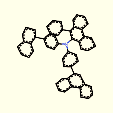 c1ccc(-c2c(N(c3ccc(-c4cccc5ccccc45)cc3)c3ccc(-c4cc5ccccc5c5ccccc45)cc3)c3ccccc3c3ccccc23)cc1